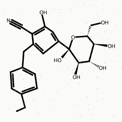 CCc1ccc(Cc2cc([C@]3(O)O[C@H](CO)[C@@H](O)[C@H](O)[C@H]3O)cc(O)c2C#N)cc1